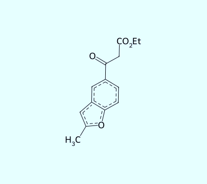 CCOC(=O)CC(=O)c1ccc2oc(C)cc2c1